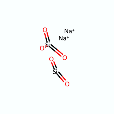 O=[Si]=O.O=[Si]=O.[Na+].[Na+].[O-2]